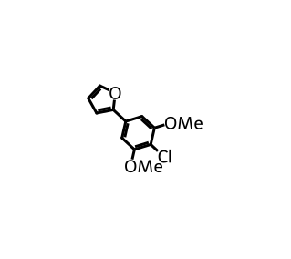 COc1cc(-c2ccco2)cc(OC)c1Cl